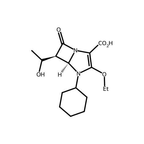 CCOC1=C(C(=O)O)N2C(=O)[C@H](C(C)O)[C@@H]2N1C1CCCCC1